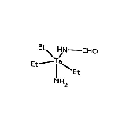 C[CH2][Ta]([NH2])([CH2]C)([CH2]C)[NH]C=O